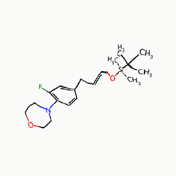 CC(C)(C)[Si](C)(C)O/C=C/Cc1ccc(N2CCOCC2)c(F)c1